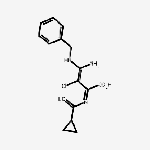 C=C(/N=C(C(=O)O)\C(Cl)=C(/N)NCc1ccccc1)C1CC1